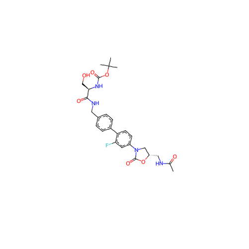 CC(=O)NC[C@H]1CN(c2ccc(-c3ccc(CNC(=O)[C@@H](CO)NC(=O)OC(C)(C)C)cc3)c(F)c2)C(=O)O1